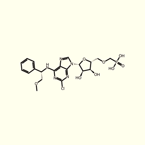 COC[C@@H](Nc1nc(Cl)nc2c1ncn2[C@@H]1O[C@H](COCP(=O)(O)O)[C@@H](O)[C@H]1O)c1ccccc1